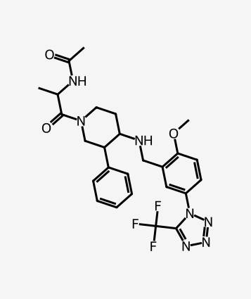 COc1ccc(-n2nnnc2C(F)(F)F)cc1CNC1CCN(C(=O)C(C)NC(C)=O)CC1c1ccccc1